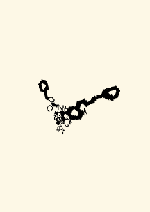 CC(C)OC(=O)[C@](CC(C)(C)C)(NC(=O)OCc1ccccc1)c1ccc2nc(C#Cc3ccccc3)ccc2c1